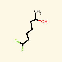 CC(O)CCCCC(F)F